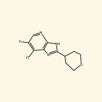 Fc1cnc2[nH]c(C3CCOCC3)nc2c1Cl